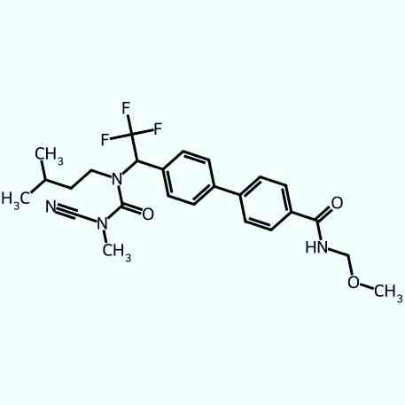 COCNC(=O)c1ccc(-c2ccc(C(N(CCC(C)C)C(=O)N(C)C#N)C(F)(F)F)cc2)cc1